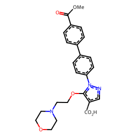 COC(=O)c1ccc(-c2ccc(-n3ncc(C(=O)O)c3OCCN3CCOCC3)cc2)cc1